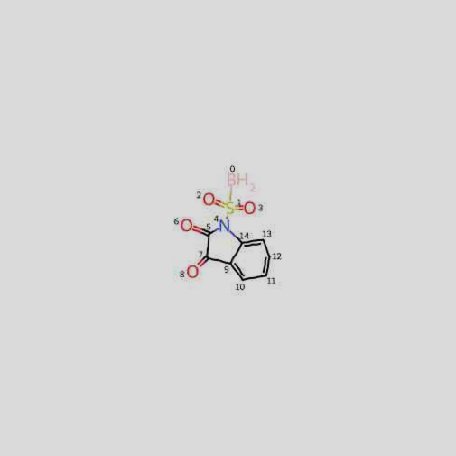 BS(=O)(=O)N1C(=O)C(=O)c2ccccc21